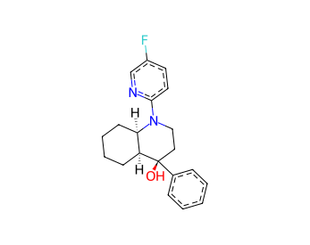 O[C@]1(c2ccccc2)CCN(c2ccc(F)cn2)[C@@H]2CCCC[C@@H]21